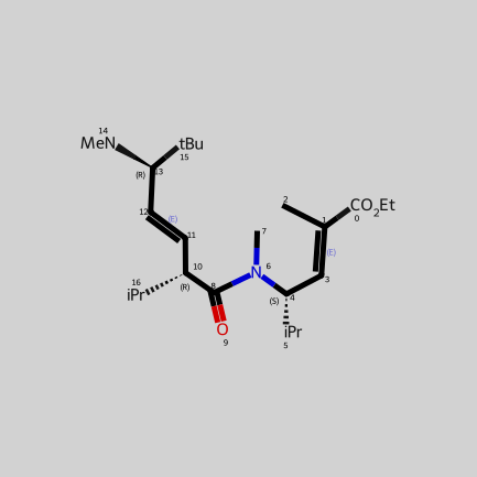 CCOC(=O)/C(C)=C/[C@H](C(C)C)N(C)C(=O)[C@@H](/C=C/[C@@H](NC)C(C)(C)C)C(C)C